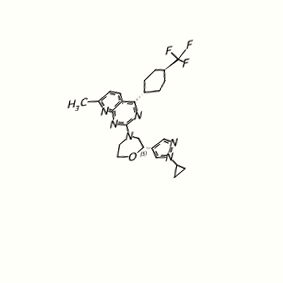 Cc1ccc2c(n1)nc(N1CCO[C@@H](c3cnn(C4CC4)c3)C1)nc2[C@H]1CC[C@H](C(F)(F)F)CC1